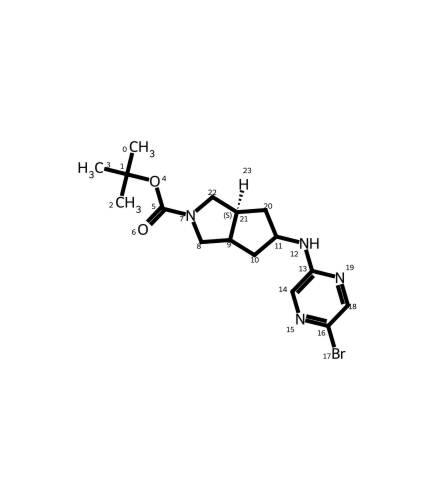 CC(C)(C)OC(=O)N1CC2CC(Nc3cnc(Br)cn3)C[C@@H]2C1